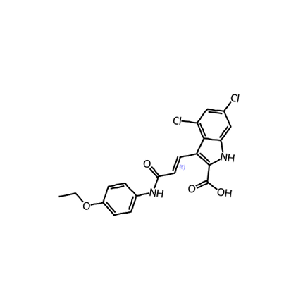 CCOc1ccc(NC(=O)/C=C/c2c(C(=O)O)[nH]c3cc(Cl)cc(Cl)c23)cc1